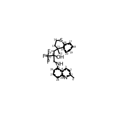 Cc1ccc2c(NCC(O)(CC3(C)CCSc4ccccc43)C(F)(F)F)cccc2n1